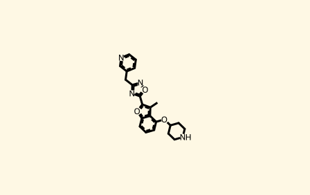 Cc1c(-c2nc(Cc3cccnc3)no2)oc2cccc(OC3CCNCC3)c12